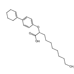 CCCCCCCCCC(Oc1ccc(C2=CCCCC2)cc1)C(=O)O